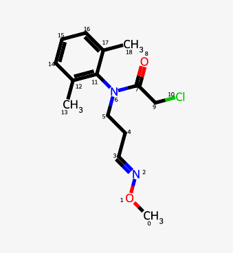 CON=CCCN(C(=O)CCl)c1c(C)cccc1C